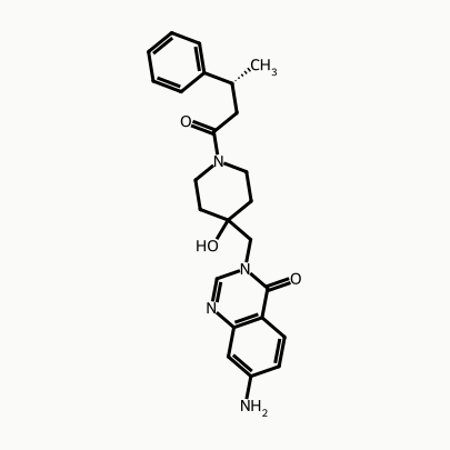 C[C@H](CC(=O)N1CCC(O)(Cn2cnc3cc(N)ccc3c2=O)CC1)c1ccccc1